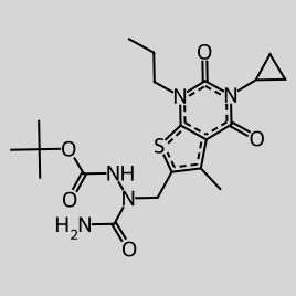 CCCn1c(=O)n(C2CC2)c(=O)c2c(C)c(CN(NC(=O)OC(C)(C)C)C(N)=O)sc21